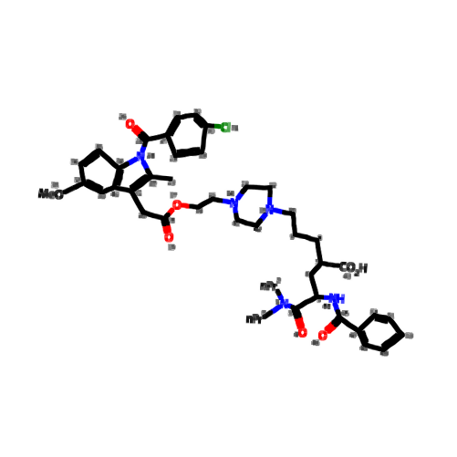 CCCN(CCC)C(=O)C(CC(CCCN1CCN(CCOC(=O)Cc2c(C)n(C(=O)c3ccc(Cl)cc3)c3ccc(OC)cc23)CC1)C(=O)O)NC(=O)c1ccccc1